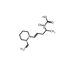 C=C[C@H]1CCCCN1C=CCC(C)[NH+]([O-])C(=O)O